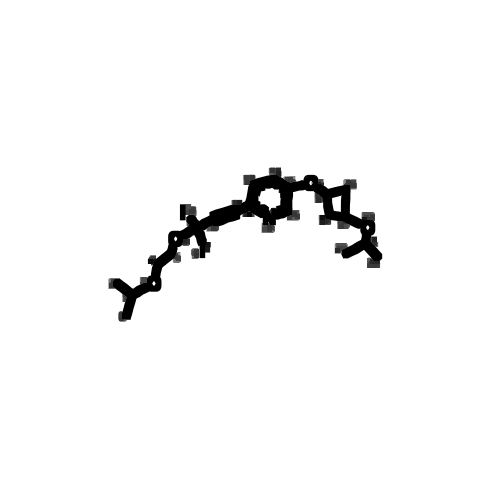 CC(C)OCCOC(F)(F)C#Cc1ccc(OC2CC(OC(C)C)C2)cn1